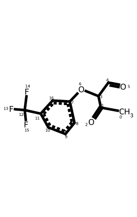 CC(=O)C(C=O)Oc1cccc(C(F)(F)F)c1